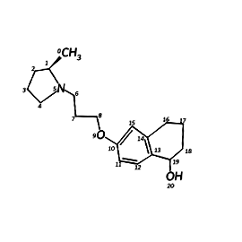 C[C@@H]1CCCN1CCCOc1ccc2c(c1)CCCC2O